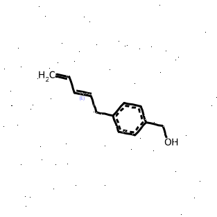 C=C/C=C/Cc1ccc(CO)cc1